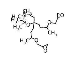 CC(CCC1(CCC(C)OCC2CO2)CC[Si](C)(C)[Si](C)(C)O1)OCC1CO1